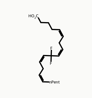 CCCCC/C=C\C/C=C\C(F)(F)/C=C\C/C=C\CCCC(=O)O